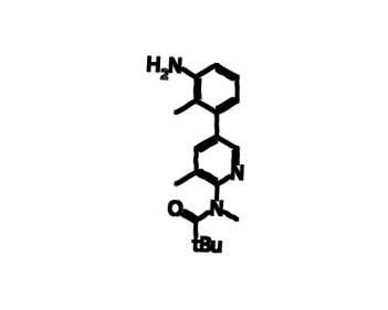 Cc1cc(-c2cccc(N)c2C)cnc1N(C)C(=O)C(C)(C)C